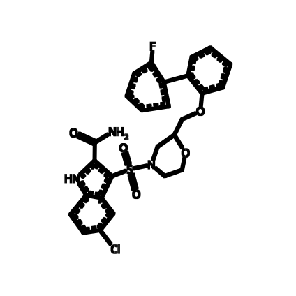 NC(=O)c1[nH]c2ccc(Cl)cc2c1S(=O)(=O)N1CCOC(COc2ccccc2-c2ccccc2F)C1